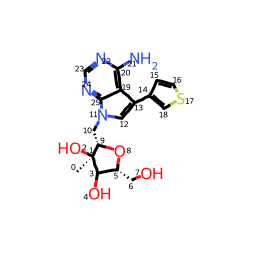 C[C@@]1(O)C(O)[C@@H](CO)O[C@H]1Cn1cc(-c2ccsc2)c2c(N)ncnc21